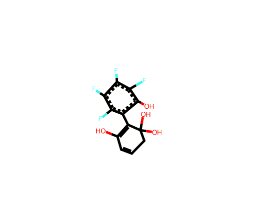 OC1=C(c2c(O)c(F)c(F)c(F)c2F)C(O)(O)CC=C1